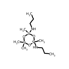 CCCN[Si]1(C)O[Si](C)(C)O[Si](C)(NCCC)O1